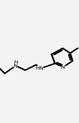 CC(=O)CNCCNc1ccc(C#N)cn1